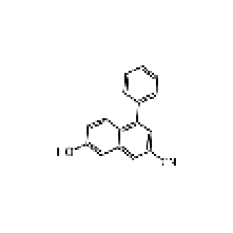 N#Cc1cc(-c2ccccc2)c2ccc(O)cc2c1